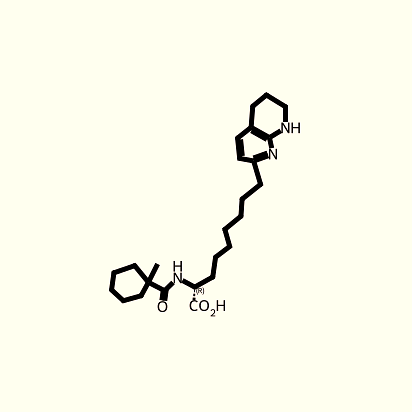 CC1(C(=O)N[C@H](CCCCCCCc2ccc3c(n2)NCCC3)C(=O)O)CCCCC1